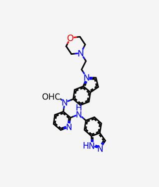 O=CN(c1ccc2ccn(CCN3CCOCC3)c2c1)c1cccnc1Nc1ccc2cn[nH]c2c1